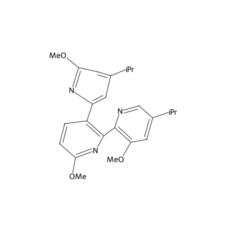 COc1cc(C(C)C)cc(-c2ccc(OC)nc2-c2ncc(C(C)C)cc2OC)n1